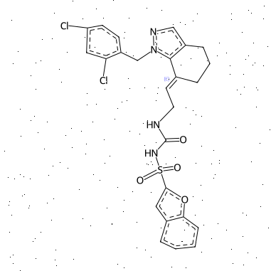 O=C(NC/C=C1\CCCc2cnn(Cc3ccc(Cl)cc3Cl)c21)NS(=O)(=O)c1cc2ccccc2o1